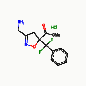 COC(=O)C1(C(F)(F)c2ccccc2)CC(CN)=NO1.Cl